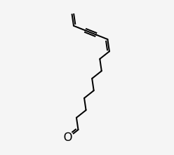 C=CC#C/C=C\CCCCCCCC=O